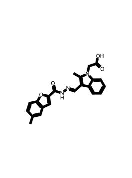 Cc1ccc2oc(C(=O)NN=Cc3c(C)n(CC(=O)O)c4ccccc34)cc2c1